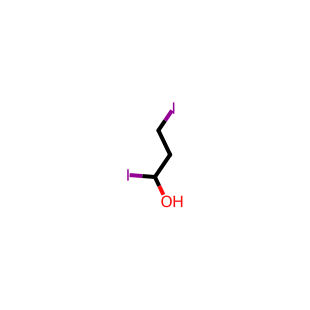 OC(I)CCI